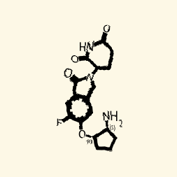 N[C@H]1CCC[C@H]1Oc1cc2c(cc1F)C(=O)N(C1CCC(=O)NC1=O)C2